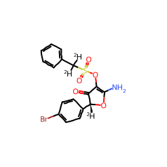 [2H]C([2H])(c1ccccc1)S(=O)(=O)OC1=C(N)O[C@]([2H])(c2ccc(Br)cc2)C1=O